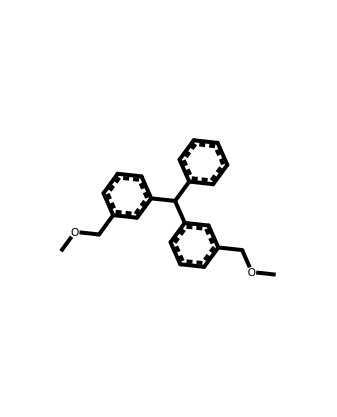 COCc1cccc(C(c2ccccc2)c2cccc(COC)c2)c1